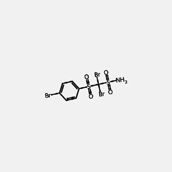 NS(=O)(=O)C(Br)(Br)S(=O)(=O)c1ccc(Br)cc1